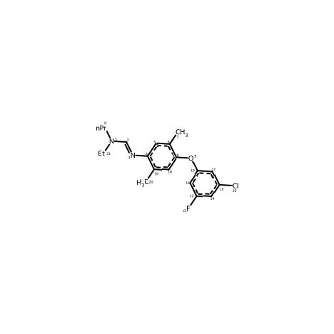 CCCN(/C=N/c1cc(C)c(Oc2cc(F)cc(Cl)c2)cc1C)CC